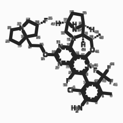 Cc1cc(N)c(Cl)c(-c2nc3c4c(nc(OCC[C@@]56CCCN5C[C@H](F)C6)nc4c2F)N2C[C@H]4CC[C@H](N4)[C@H]2[C@H](C)O3)c1C(F)(F)F